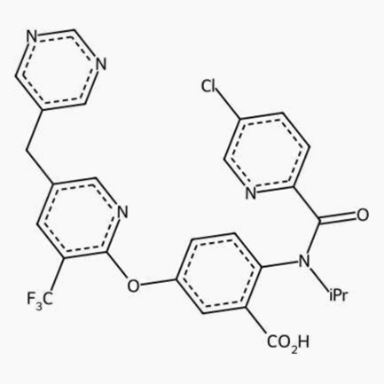 CC(C)N(C(=O)c1ccc(Cl)cn1)c1ccc(Oc2ncc(Cc3cncnc3)cc2C(F)(F)F)cc1C(=O)O